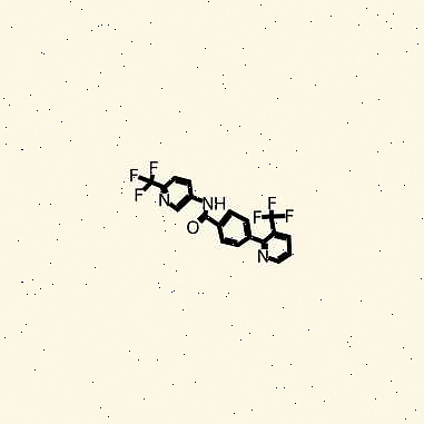 O=C(Nc1ccc(C(F)(F)F)nc1)c1ccc(-c2ncccc2C(F)(F)F)cc1